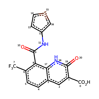 O=C(O)c1cc2ccc(C(F)(F)F)c(C(=O)Nc3ccsc3)c2[nH]c1=O